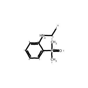 CP(C)(=O)c1ccccc1NCI